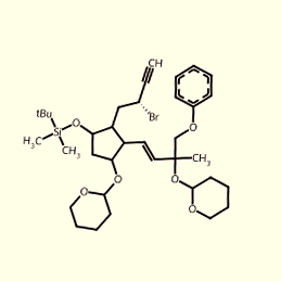 C#C[C@H](Br)CC1C(O[Si](C)(C)C(C)(C)C)CC(OC2CCCCO2)C1C=CC(C)(COc1ccccc1)OC1CCCCO1